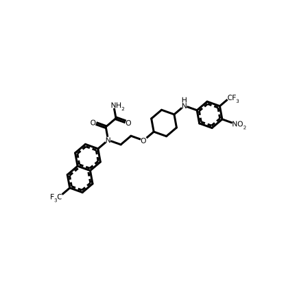 NC(=O)C(=O)N(CCOC1CCC(Nc2ccc([N+](=O)[O-])c(C(F)(F)F)c2)CC1)c1ccc2cc(C(F)(F)F)ccc2c1